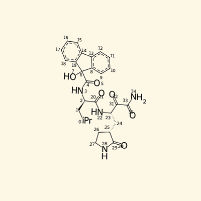 CC(C)C[C@@H](NC(=O)C1(O)c2ccccc2-c2ccccc21)C(=O)N[C@@H](C[C@H]1CCNC1=O)C(=O)C(N)=O